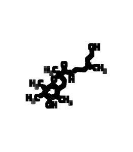 Cc1c(C)c2c(c(C)c1O)CCC(C)(C(=O)NCCN(C)CCO)O2